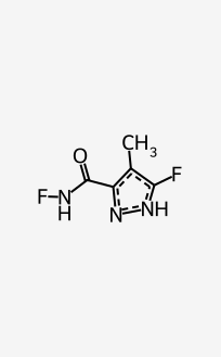 Cc1c(C(=O)NF)n[nH]c1F